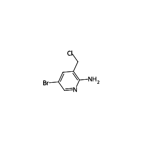 Nc1ncc(Br)cc1CCl